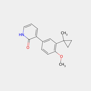 COc1ccc(-c2ccc[nH]c2=O)cc1C1(C)CC1